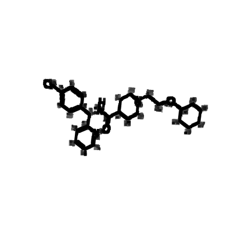 O=C(N[C@@H](c1ccc(Cl)cc1)c1ccccn1)C1CCN(CCOC2CCCCC2)CC1